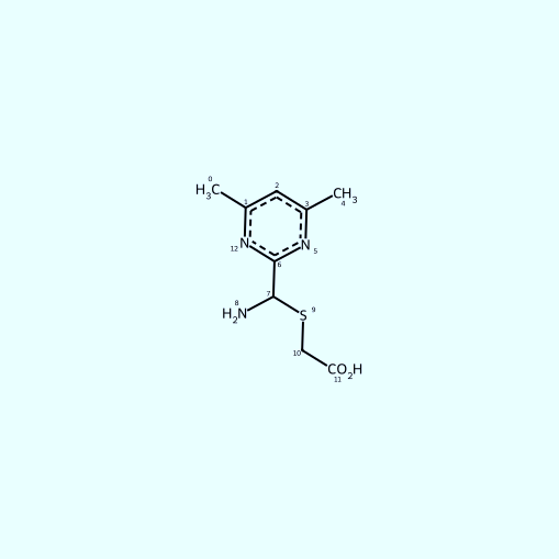 Cc1cc(C)nc(C(N)SCC(=O)O)n1